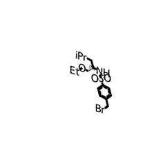 CCOC[C@H](CC(C)C)NS(=O)(=O)c1ccc(CBr)cc1